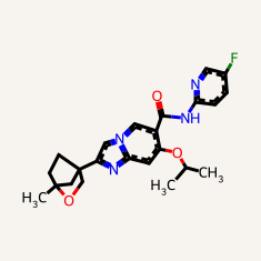 CC(C)Oc1cc2nc(C34CCC(C)(C3)OC4)cn2cc1C(=O)Nc1ccc(F)cn1